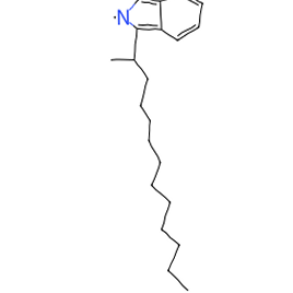 CCCCCCCCCCCC(C)C1=c2ccccc2=C[N]1